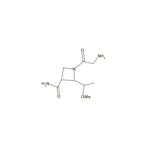 COC(C)C1C(C(N)=O)CN1C(=O)CN